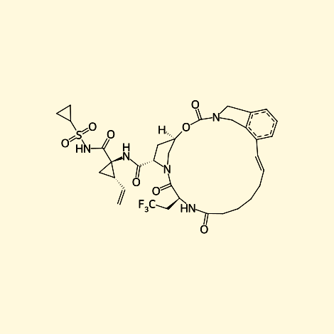 C=C[C@@H]1C[C@]1(NC(=O)[C@@H]1C[C@@H]2CN1C(=O)[C@H](CC(F)(F)F)NC(=O)CCCC/C=C/c1cccc3c1CN(C3)C(=O)O2)C(=O)NS(=O)(=O)C1CC1